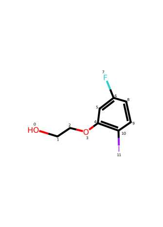 OCCOc1cc(F)ccc1I